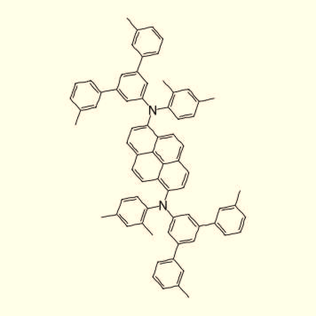 Cc1cccc(-c2cc(-c3cccc(C)c3)cc(N(c3ccc(C)cc3C)c3ccc4ccc5c(N(c6cc(-c7cccc(C)c7)cc(-c7cccc(C)c7)c6)c6ccc(C)cc6C)ccc6ccc3c4c65)c2)c1